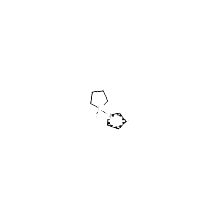 [O-][N+]1(n2cccc2)CCCC1